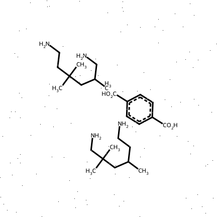 CC(CCN)CC(C)(C)CN.CC(CN)CC(C)(C)CCN.O=C(O)c1ccc(C(=O)O)cc1